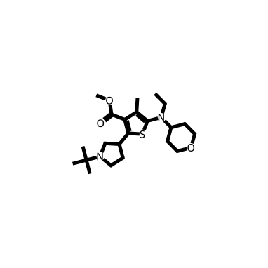 CCN(c1sc(C2CCN(C(C)(C)C)C2)c(C(=O)OC)c1C)C1CCOCC1